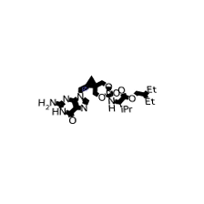 CCC(CC)COC(=O)[C@@H](NP1(=O)OCC2(CO1)C/C2=C/n1cnc2c(=O)[nH]c(N)nc21)C(C)C